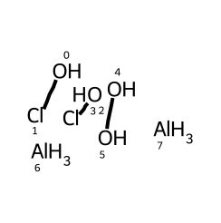 OCl.OCl.OO.[AlH3].[AlH3]